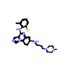 Cc1cccc(Cl)c1Nc1nc2cc(NCCCN3CCN(C)CC3)ccc2n2cncc12